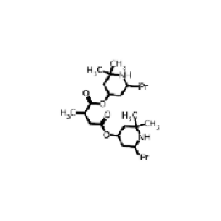 CC(CC(=O)OC1CC(C(C)C)NC(C)(C)C1)C(=O)OC1CC(C(C)C)NC(C)(C)C1